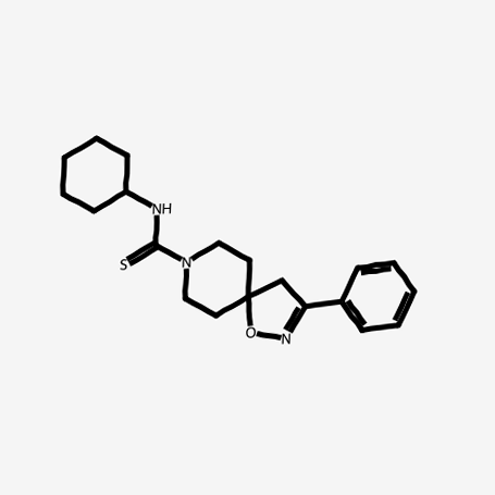 S=C(NC1CCCCC1)N1CCC2(CC1)CC(c1ccccc1)=NO2